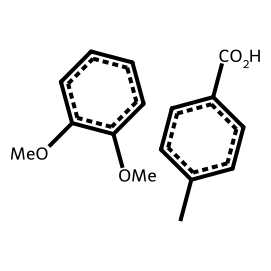 COc1ccccc1OC.Cc1ccc(C(=O)O)cc1